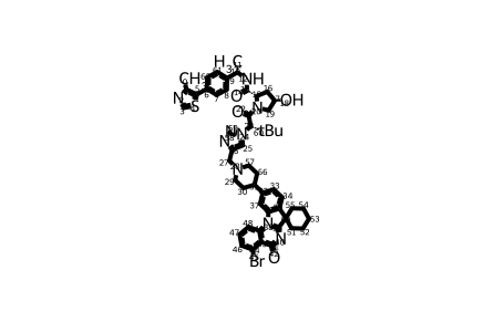 Cc1ncsc1-c1ccc([C@H](C)NC(=O)[C@@H]2C[C@@H](O)CN2C(=O)[C@@H](n2cc(CN3CCC(c4ccc5c(c4)-n4c(nc(=O)c6c(Br)cccc64)C54CCCCC4)CC3)nn2)C(C)(C)C)cc1